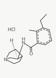 CCc1cccc(C(=O)N[C@@H]2CN3CCC2CC3)c1C.Cl